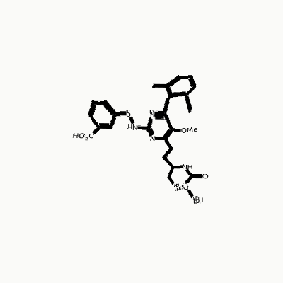 COc1c(CCC(CC(C)(C)C)NC(=O)OC(C)(C)C)nc(NSc2cccc(C(=O)O)c2)nc1-c1c(C)cccc1C